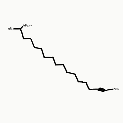 [CH2]CCCC#CCCCCCCCCCCCCCC(CCCC)CCCC[CH2]